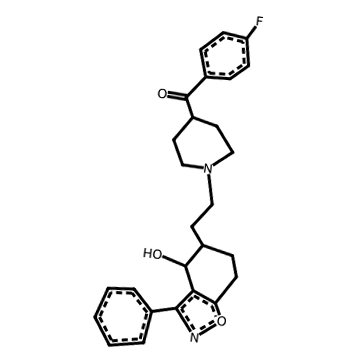 O=C(c1ccc(F)cc1)C1CCN(CCC2CCc3onc(-c4ccccc4)c3C2O)CC1